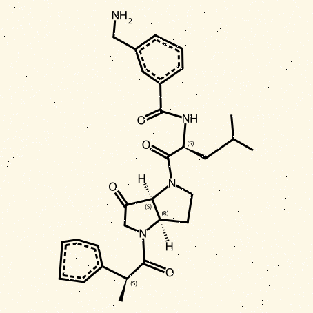 CC(C)C[C@H](NC(=O)c1cccc(CN)c1)C(=O)N1CC[C@@H]2[C@H]1C(=O)CN2C(=O)[C@@H](C)c1ccccc1